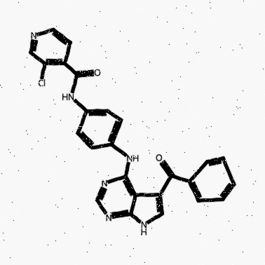 O=C(Nc1ccc(Nc2ncnc3[nH]cc(C(=O)c4ccccc4)c23)cc1)c1ccncc1Cl